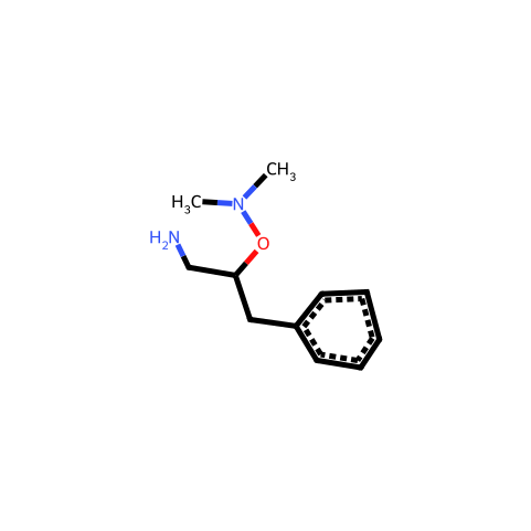 CN(C)OC(CN)Cc1ccccc1